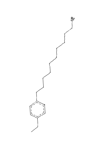 CCc1ccc(CCCCCCCCCCBr)cc1